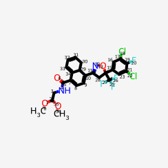 COC(CNC(=O)C1=CC=C(C2=NOC(c3cc(Cl)c(F)c(Cl)c3)(C(F)(F)F)C2)C2CC=CC=C12)OC